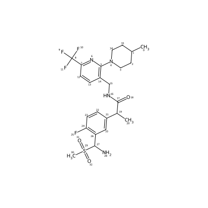 CC1CCN(c2nc(C(F)(F)F)ccc2CNC(=O)C(C)c2ccc(F)c(C(N)S(C)(=O)=O)c2)CC1